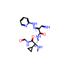 CN[C@](CNC(=O)/C(C=N)=N/Nc1ccccn1)(C(=O)NC=O)C1CC1